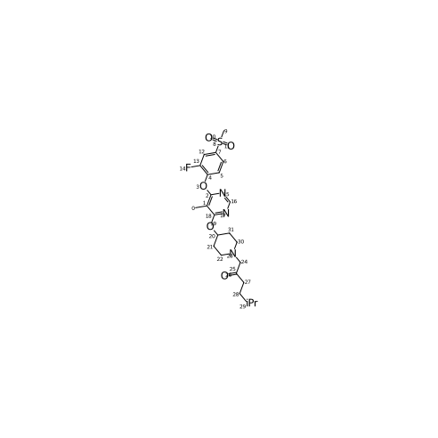 Cc1c(Oc2ccc(S(C)(=O)=O)cc2F)ncnc1OC1CCN(CC(=O)CCC(C)C)CC1